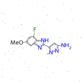 COc1cc(F)c2[nH]c(-c3cc(N)nn3C)nc2c1